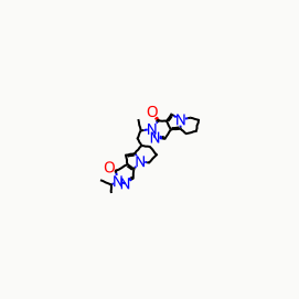 CC(C)n1ncc2c(cc3n2CCCC3CC(C)n2ncc3c4n(cc3c2=O)CCCC4)c1=O